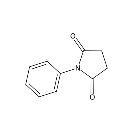 O=C1CCC(=O)N1c1[c]cccc1